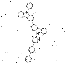 c1ccc(-c2ccc(-c3cnc(-n4c5ccccc5c5cc(-c6ccc7c(c6)c6ccccc6n7-c6ccccc6)ccc54)nc3)cc2)cc1